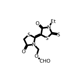 CCN1C(=O)/C(=C2\SCC(=O)N2COC=O)SC1=S